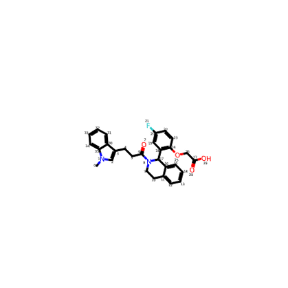 Cn1cc(CCC(=O)N2CCc3ccccc3C2c2cc(F)ccc2OCC(=O)O)c2ccccc21